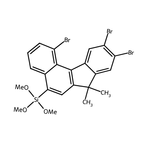 CO[Si](OC)(OC)c1cc2c(c3c(Br)cccc13)-c1cc(Br)c(Br)cc1C2(C)C